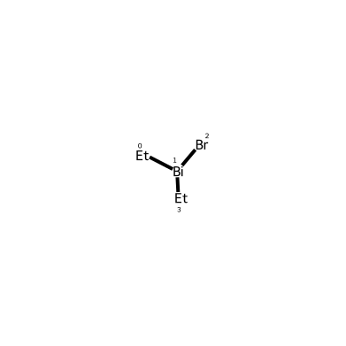 C[CH2][Bi]([Br])[CH2]C